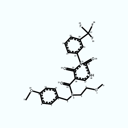 COCCN(Cc1ccc(OC)cc1)C(=O)c1c[nH]c(=O)n(-c2cccc(C(F)(F)F)c2)c1=O